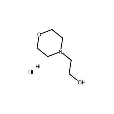 I.I.OCCN1CCOCC1